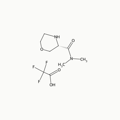 CN(C)C(=O)[C@@H]1COCCN1.O=C(O)C(F)(F)F